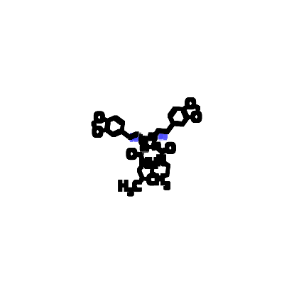 CC(C)CNC(=O)[C@@H]1[C@H](/C=C/c2ccc3c(c2)OCO3)[C@@H](/C=C/c2ccc3c(c2)OCO3)[C@H]1C(=O)N1CCCCC1